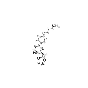 CCCCOc1ccc(C2CCNC(NC(=O)OC)=N2)cc1